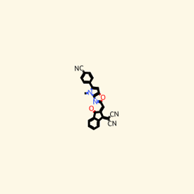 Cn1c(-c2ccc(C#N)cc2)cc2oc(/C=C3\C(=O)c4ccccc4C3=C(C#N)C#N)nc21